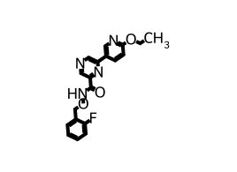 CCOc1ccc(-c2cncc(C(=O)NOCc3ccccc3F)n2)cn1